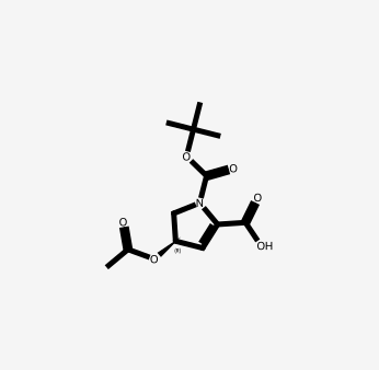 CC(=O)O[C@@H]1C=C(C(=O)O)N(C(=O)OC(C)(C)C)C1